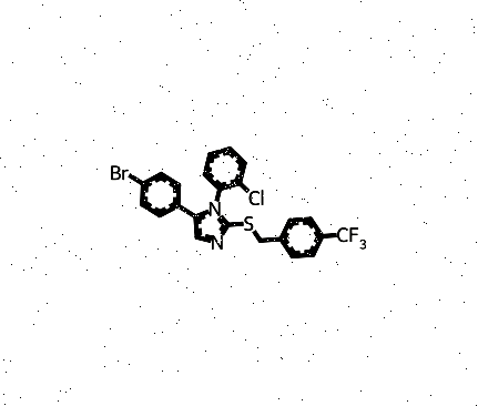 FC(F)(F)c1ccc(CSc2ncc(-c3ccc(Br)cc3)n2-c2ccccc2Cl)cc1